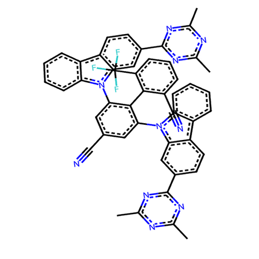 Cc1nc(C)nc(-c2ccc3c4ccccc4n(-c4cc(C#N)cc(-n5c6ccccc6c6ccc(-c7nc(C)nc(C)n7)cc65)c4-c4c(C#N)cccc4C(F)(F)F)c3c2)n1